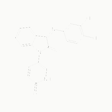 O=C1C(=Nc2ccc(Cl)c(Cl)c2)c2ccccc2N1c1ccc(=O)[nH]c1